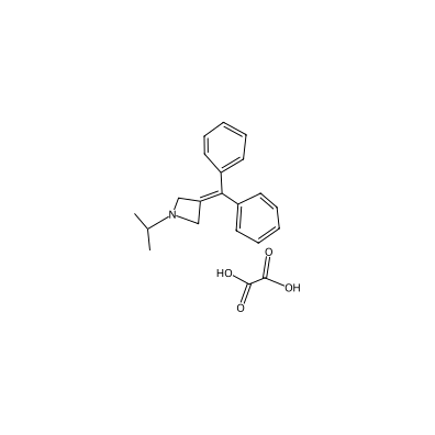 CC(C)N1CC(=C(c2ccccc2)c2ccccc2)C1.O=C(O)C(=O)O